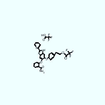 NC(=O)c1ccccc1Oc1cc2nc(-c3ccccn3)[nH]c2cc1Oc1ccc(CCOC(=O)C(F)(F)F)cc1.O=C(O)C(F)(F)F